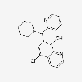 Oc1c(C(c2ccccn2)N2CCCCC2)cc(Cl)c2cccnc12